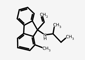 C=CC1(NC(C)CC)c2ccccc2-c2cccc(C)c21